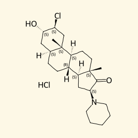 C[C@]12C[C@H](Cl)[C@@H](O)C[C@@H]1CC[C@@H]1[C@@H]2CC[C@]2(C)C(=O)[C@@H](N3CCCCC3)C[C@@H]12.Cl